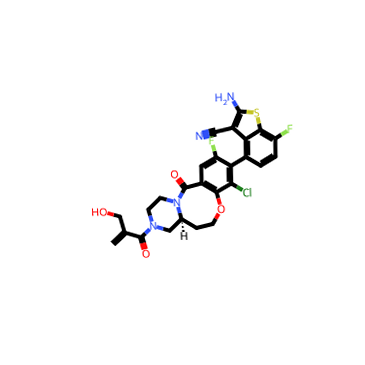 C=C(CO)C(=O)N1CCN2C(=O)c3cc(F)c(-c4ccc(F)c5sc(N)c(C#N)c45)c(Cl)c3OCC[C@H]2C1